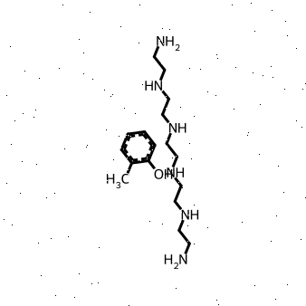 Cc1ccccc1O.NCCNCCNCCNCCNCCN